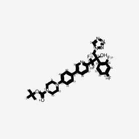 CC(C)(C)OC(=O)N1CCN(c2ccc(-c3ccc(C(F)(F)[C@](O)(Cn4cnnn4)c4ccc(F)cc4F)nc3)cc2)CC1